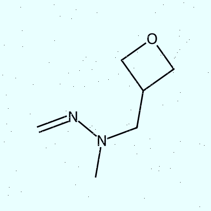 C=NN(C)CC1COC1